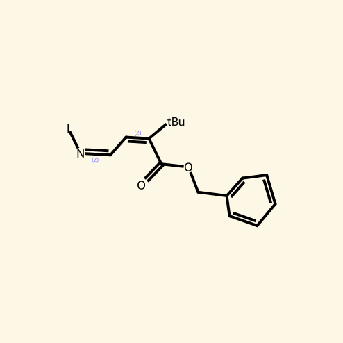 CC(C)(C)/C(=C/C=N\I)C(=O)OCc1ccccc1